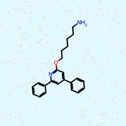 NCCCCCCOc1cc(-c2ccccc2)cc(-c2ccccc2)n1